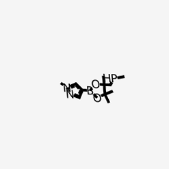 CPCC1(C)OB(c2cnn(C)c2)OC1(C)C